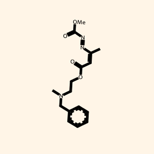 COC(=O)N=N/C(C)=C\C(=O)OCCN(C)Cc1ccccc1